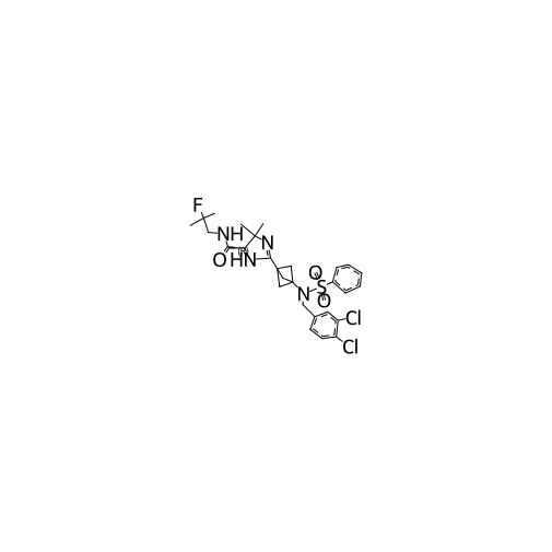 CC(C)(F)CNC(=O)[C@@H]1NC(C23CC(N(Cc4ccc(Cl)c(Cl)c4)S(=O)(=O)c4ccccc4)(C2)C3)=NC1(C)C